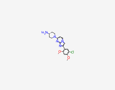 COc1cc(OC)c(-c2cn3ccc(N4CCC(N)CC4)nc3n2)cc1Cl